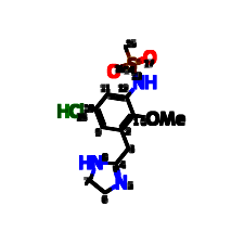 COc1c(CC2=NCCN2)cccc1NS(C)(=O)=O.Cl